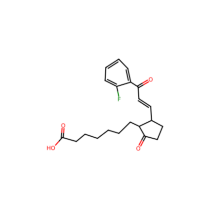 O=C(O)CCCCCCC1C(=O)CCC1/C=C/C(=O)c1ccccc1F